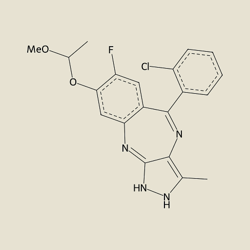 COC(C)Oc1cc2c(cc1F)C(c1ccccc1Cl)=NC1=C(C)NNC1=N2